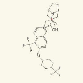 O=C(O)C1CC2CCC(C1)N2C(=O)Cc1ccc2c(C(F)(F)F)c(OC3CCC(C(F)(F)F)CC3)ccc2c1